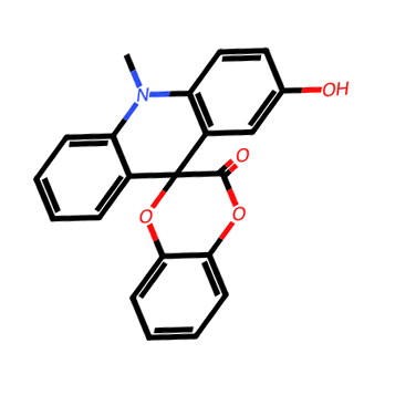 CN1c2ccccc2C2(Oc3ccccc3OC2=O)c2cc(O)ccc21